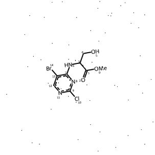 COC(=O)C(CO)Nc1nc(Cl)ncc1Br